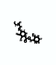 CCN(C)/C=N/c1ccc(C(=O)OCc2ncccc2F)c(C)c1C